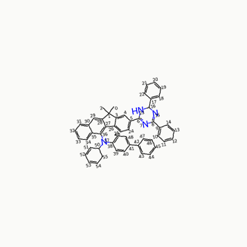 CC1(C)c2cc(C3=NC(c4ccccc4)=NC(c4ccccc4)N3)ccc2-c2c1cc1ccccc1c2N(c1ccc(-c2ccccc2)cc1)C1C=CC=CC1